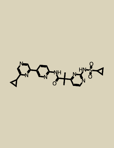 CC(C)(C(=O)Nc1ccc(-c2cncc(C3CC3)n2)cn1)c1ccnc(NS(=O)(=O)C2CC2)n1